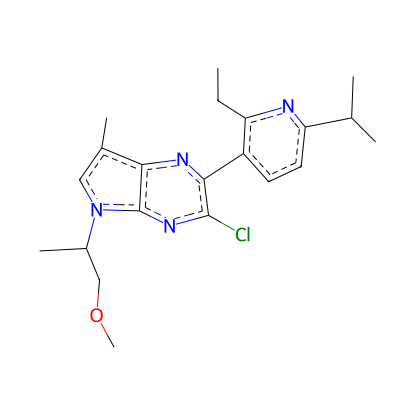 CCc1nc(C(C)C)ccc1-c1nc2c(C)cn(C(C)COC)c2nc1Cl